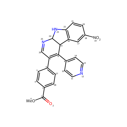 COC(=O)c1ccc(C2=C(c3ccncc3)C3c4cc([N+](=O)[O-])ccc4NC3N=C2)cc1